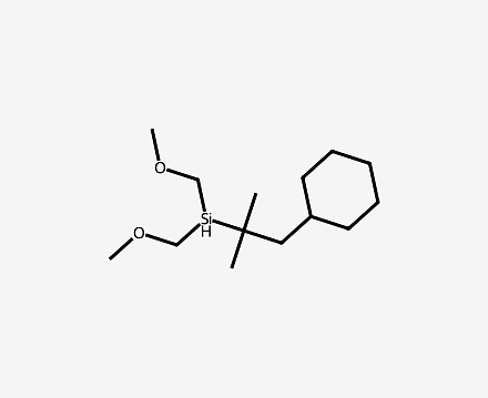 COC[SiH](COC)C(C)(C)CC1CCCCC1